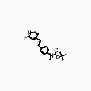 CN(C(=O)OC(C)(C)C)c1ccc(/C=C/c2ccnc(F)c2)cc1